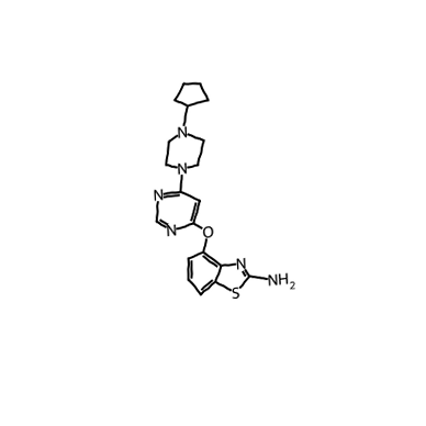 Nc1nc2c(Oc3cc(N4CCN(C5CCCC5)CC4)ncn3)cccc2s1